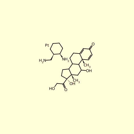 C[C@]12C=CC(=O)C=C1CCC1C2C(O)C[C@@]2(C)C1CC[C@]2(O)C(=O)CO.NC[C@H]1CCCC[C@H]1N.[Pt]